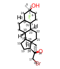 C[C@]1(O)CC[C@]2(F)[C@@H](CC[C@H]3[C@@H]4CC[C@H](C(=O)CBr)[C@@]4(C)CC[C@@H]32)C1